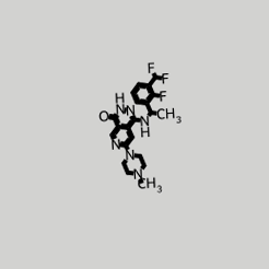 CC(Nc1n[nH]c(=O)c2cnc(N3CCN(C)CC3)cc12)c1cccc(C(F)F)c1F